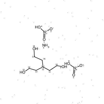 N.O=[N+]([O-])O.O=[N+]([O-])O.OCCN(CCO)CCO